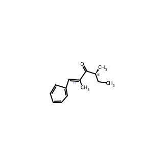 CC[C@H](C)C(=O)/C(C)=C/c1ccccc1